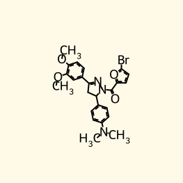 COc1ccc(C2=NN(C(=O)c3ccc(Br)o3)C(c3ccc(N(C)C)cc3)C2)cc1OC